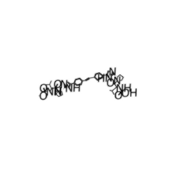 COC(=O)NC(C(=O)N1CCC[C@H]1c1ncc(-c2ccc(C#Cc3ccc(-c4cnc([C@@H]5CCCN5C(=O)[C@@H](NC(=O)O)C(C)C)[nH]4)cc3)cc2)[nH]1)C(C)C